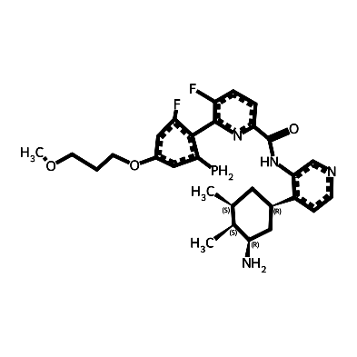 COCCCOc1cc(F)c(-c2nc(C(=O)Nc3cnccc3[C@H]3C[C@@H](N)[C@@H](C)[C@@H](C)C3)ccc2F)c(P)c1